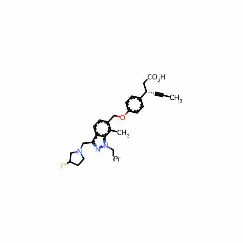 CC#C[C@@H](CC(=O)O)c1ccc(OCc2ccc3c(CN4CCC(F)C4)nn(CC(C)C)c3c2C)cc1